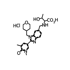 Cc1cc(-c2nc3ccc(CNC(C(=O)O)C(C)O)cc3n2CC2CCOCC2)cn(C)c1=O.Cl